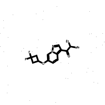 CCCC(CC)C(=O)c1cnn2cc(OC3CC(F)(F)C3)ccc12